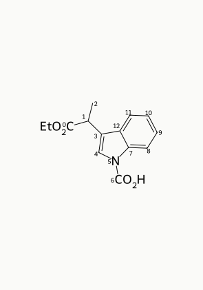 CCOC(=O)C(C)c1cn(C(=O)O)c2ccccc12